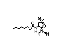 CCCCCCOC(=O)NC(CS(C)(=O)=O)C(=O)N(C#N)CC